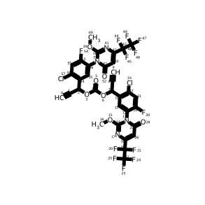 C#CC(OC(=O)OC(C#C)c1cc(-n2c(OC)nc(C(F)(F)C(F)(F)F)cc2=O)c(F)cc1Cl)c1cc(-n2c(OC)nc(C(F)(F)C(F)(F)F)cc2=O)c(F)cc1Cl